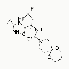 CC(F)(F)C[C@H](NC(=O)N1CCC2(CC1)OCCCO2)C(=O)NC1(N)CC1